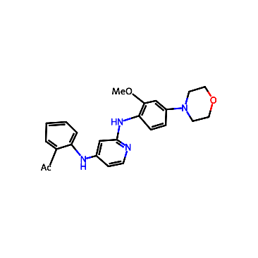 COc1cc(N2CCOCC2)ccc1Nc1cc(Nc2ccccc2C(C)=O)ccn1